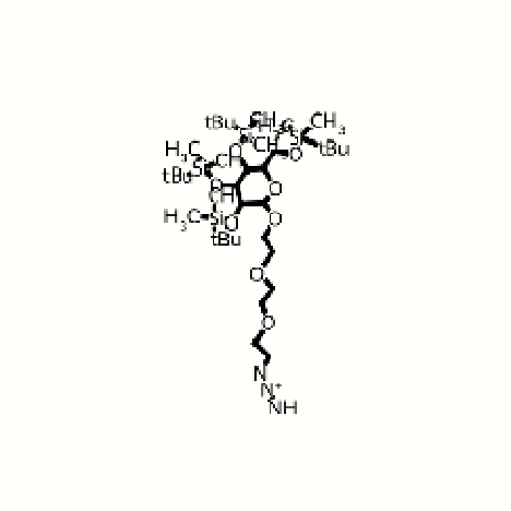 CC(C)(C)[Si](C)(C)OCC1OC(OCCOCCOCCN=[N+]=N)C(O[Si](C)(C)C(C)(C)C)C(O[Si](C)(C)C(C)(C)C)C1O[Si](C)(C)C(C)(C)C